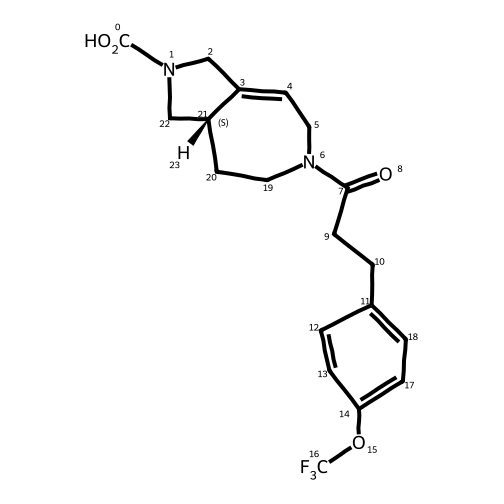 O=C(O)N1CC2=CCN(C(=O)CCc3ccc(OC(F)(F)F)cc3)CC[C@@H]2C1